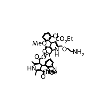 CCOC(=O)C1=C(COCCN)NC(C)=C(C(=O)OC)C1c1ccccc1Cl.COC(=O)C1=C(C)NC(C)=C(C(=O)OC(C)C)C1c1cccc2nonc12